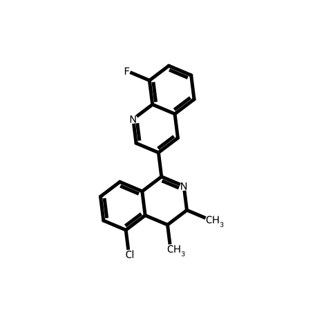 CC1N=C(c2cnc3c(F)cccc3c2)c2cccc(Cl)c2C1C